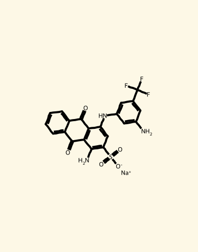 Nc1cc(Nc2cc(S(=O)(=O)[O-])c(N)c3c2C(=O)c2ccccc2C3=O)cc(C(F)(F)F)c1.[Na+]